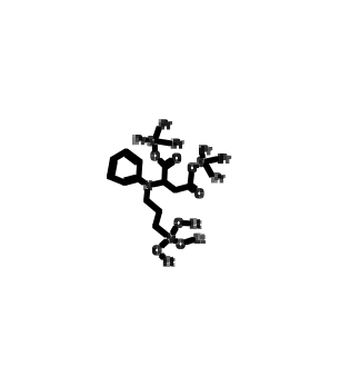 CCO[Si](CCCN(c1ccccc1)C(CC(=O)O[Si](C(C)C)(C(C)C)C(C)C)C(=O)O[Si](C(C)C)(C(C)C)C(C)C)(OCC)OCC